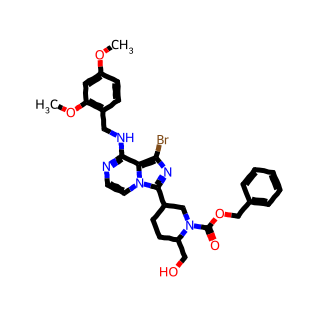 COc1ccc(CNc2nccn3c(C4CCC(CO)N(C(=O)OCc5ccccc5)C4)nc(Br)c23)c(OC)c1